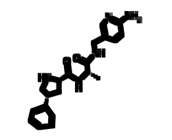 C[C@H](NC(=O)[C@H]1C[C@H](c2ccccc2)CN1)C(=O)NCc1ccc(N)nc1